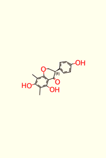 Cc1c(O)c(C)c2c(c1O)C(=O)[C@H](c1ccc(O)cc1)CO2